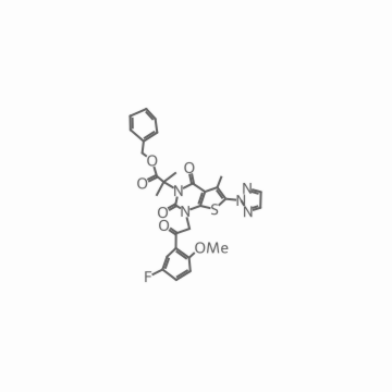 COc1ccc(F)cc1C(=O)Cn1c(=O)n(C(C)(C)C(=O)OCc2ccccc2)c(=O)c2c(C)c(-n3nccn3)sc21